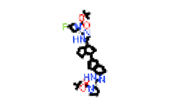 CC(C)(C)OC(=O)N1C[C@H](F)C[C@H]1c1ncc(-c2ccc(-c3ccc4c(ccc5nc([C@@H]6CCCN6C(=O)OC(C)(C)C)[nH]c54)c3)c3c2CCC3)[nH]1